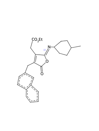 CCOC(=O)CC1=C(Cc2ccc3ccccc3c2)C(=O)O/C1=N\C1CCC(C)CC1